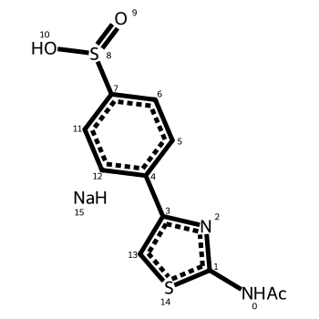 CC(=O)Nc1nc(-c2ccc(S(=O)O)cc2)cs1.[NaH]